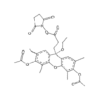 CCOC1(CCC(=O)ON2C(=O)CCC2=O)c2cc(C)c(OC(C)=O)c(C)c2Oc2c1cc(C)c(OC(C)=O)c2C